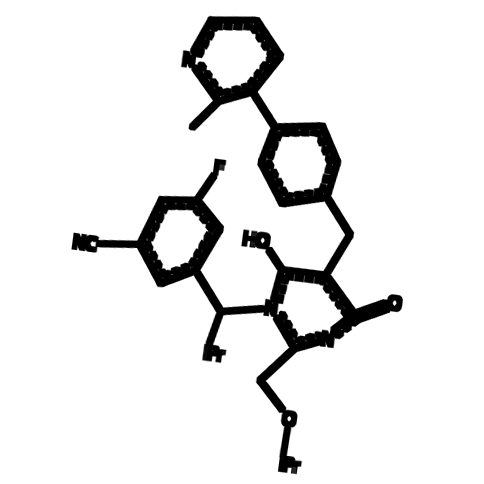 Cc1ncccc1-c1ccc(Cc2c(O)n(C(c3cc(F)cc(C#N)c3)C(C)C)c(COC(C)C)nc2=O)cc1